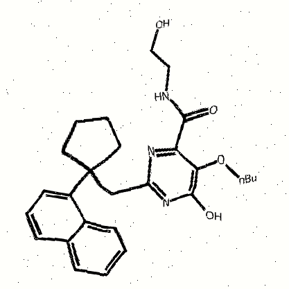 CCCCOc1c(O)nc(CC2(c3cccc4ccccc34)CCCC2)nc1C(=O)NCCO